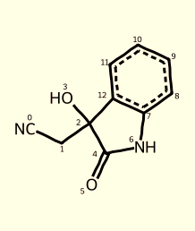 N#CCC1(O)C(=O)Nc2ccccc21